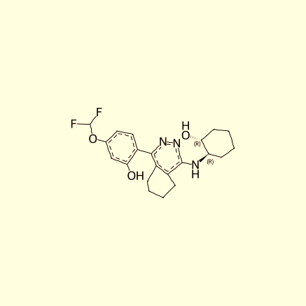 Oc1cc(OC(F)F)ccc1-c1nnc(N[C@@H]2CCCC[C@H]2O)c2c1CCCC2